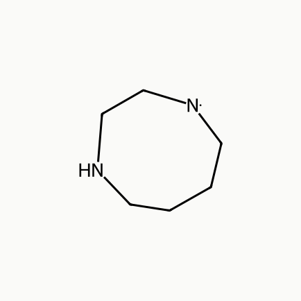 C1CCNCC[N]C1